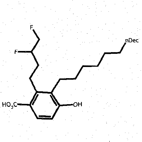 CCCCCCCCCCCCCCCCc1c(O)ccc(C(=O)O)c1CCC(F)CF